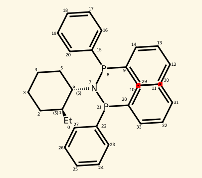 CC[C@H]1CCCC[C@@H]1N(P(c1ccccc1)c1ccccc1)P(c1ccccc1)c1ccccc1